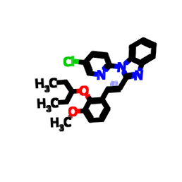 CCC(CC)Oc1c(/C=C/c2nc3ccccc3n2-c2ccc(Cl)cn2)cccc1OC